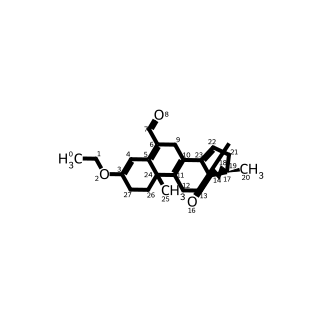 CCOC1=CC2=C(C=O)CC3=C(CCC45C(=O)CC[C@]4(C)CC=C35)C2(C)CC1